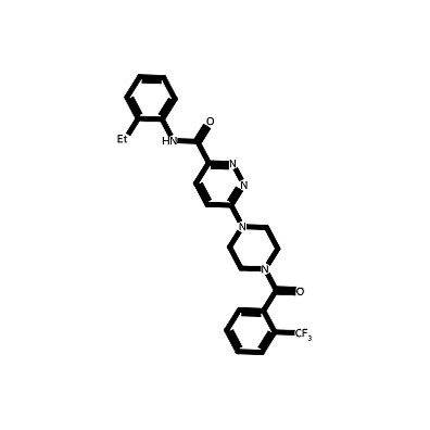 CCc1ccccc1NC(=O)c1ccc(N2CCN(C(=O)c3ccccc3C(F)(F)F)CC2)nn1